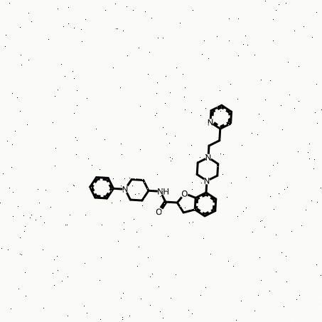 O=C(NC1CCN(c2ccccc2)CC1)C1Cc2cccc(N3CCN(CCc4ccccn4)CC3)c2O1